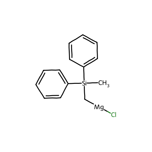 C[Si]([CH2][Mg][Cl])(c1ccccc1)c1ccccc1